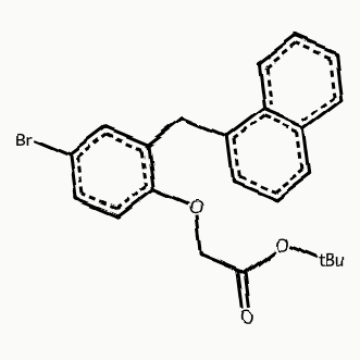 CC(C)(C)OC(=O)COc1ccc(Br)cc1Cc1cccc2ccccc12